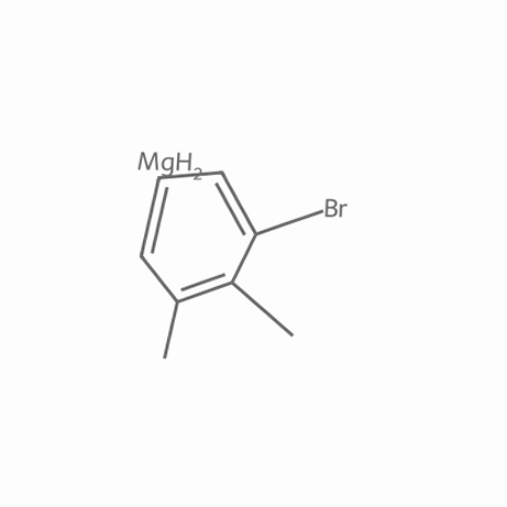 Cc1cccc(Br)c1C.[MgH2]